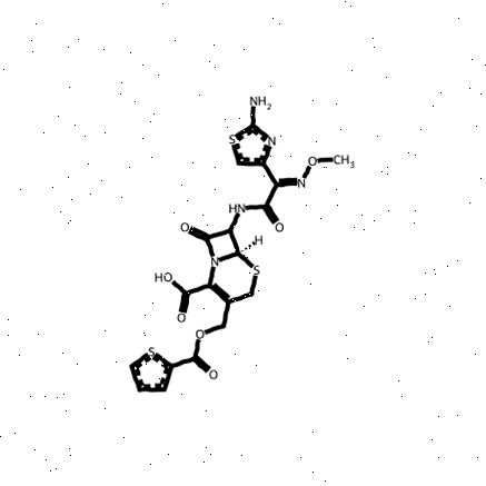 CO/N=C(/C(=O)NC1C(=O)N2C(C(=O)O)=C(COC(=O)c3cccs3)CS[C@H]12)c1csc(N)n1